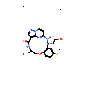 C=[N+]1c2ccn3ncc(c3n2)C(=O)N[C@H](C)COc2ccc(F)cc2[C@H]1CCO